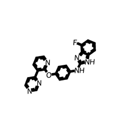 Fc1cccc2[nH]c(Nc3ccc(Oc4ncccc4-c4ccncn4)cc3)nc12